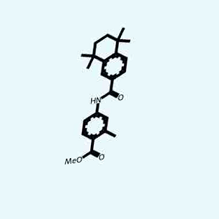 COC(=O)c1ccc(NC(=O)c2ccc3c(c2)C(C)(C)CCC3(C)C)cc1C